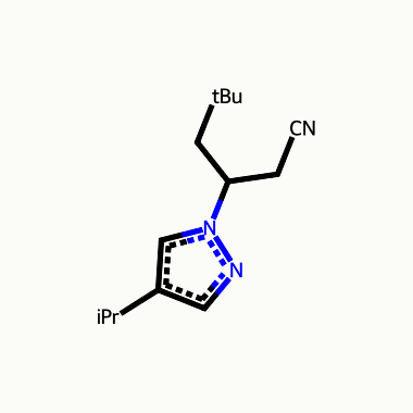 CC(C)c1cnn(C(CC#N)CC(C)(C)C)c1